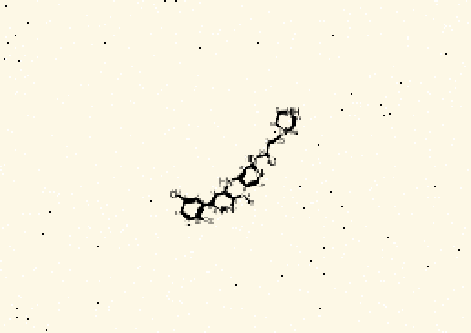 CSc1nnc(-c2cc(Cl)ccc2F)cc1Nc1ccnc(NC(=O)CCN2CCNCC2)c1